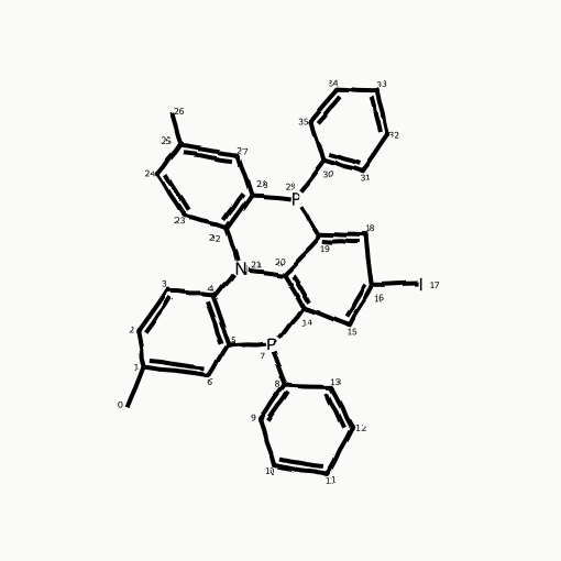 Cc1ccc2c(c1)P(c1ccccc1)c1cc(I)cc3c1N2c1ccc(C)cc1P3c1ccccc1